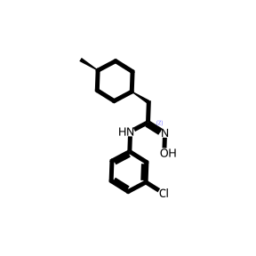 C[C@H]1CC[C@@H](C/C(=N/O)Nc2cccc(Cl)c2)CC1